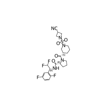 N#CC1CN(S(=O)(=O)N2CCC[C@H](C(=O)N3CCC[C@@H]3C(=O)N[C@H](c3cc(F)ccc3F)C(F)F)C2)C1